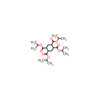 CC(C)OC(=O)C1CC(C(=O)OC(C)C)C(C(=O)OC(C)C)CC1C(=O)OC(C)C